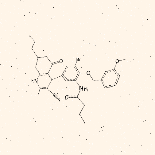 CCCC(=O)Nc1cc(C2C(C#N)=C(C)NC3=C2C(=O)CC(CCC)C3)cc(Br)c1OCc1cccc(OC)c1